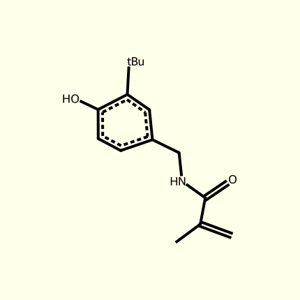 C=C(C)C(=O)NCc1ccc(O)c(C(C)(C)C)c1